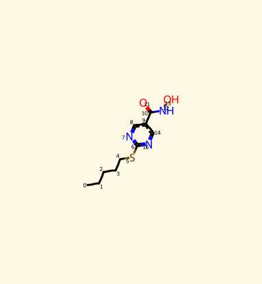 CCCCCSc1ncc(C(=O)NO)cn1